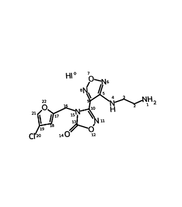 I.NCCNc1nonc1-c1noc(=O)n1Cc1cc(Cl)co1